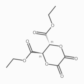 CCOC(=O)[C@@H]1OC(=O)C(=O)O[C@H]1C(=O)OCC